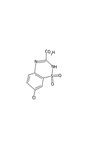 O=C(O)C1=Nc2ccc(Cl)cc2S(=O)(=O)N1